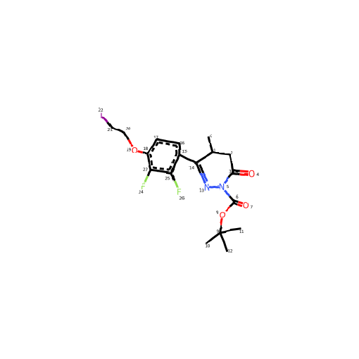 CC1CC(=O)N(C(=O)OC(C)(C)C)N=C1c1ccc(OCCI)c(F)c1F